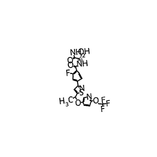 CC(Oc1ccc(OCC(F)(F)F)nc1)c1cc(-c2ccc(C(=O)N[C@@H](CO)C(N)=O)c(F)c2)ns1